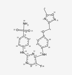 Cc1nc(COc2ccc(Nc3nc(Nc4ccc(S(N)(=O)=O)cc4)ncc3F)cc2)no1